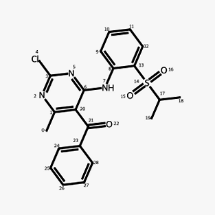 Cc1nc(Cl)nc(Nc2ccccc2S(=O)(=O)C(C)C)c1C(=O)c1ccccc1